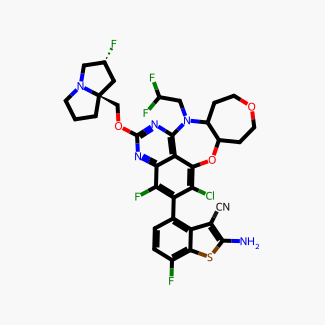 N#Cc1c(N)sc2c(F)ccc(-c3c(Cl)c4c5c(nc(OC[C@@]67CCCN6C[C@H](F)C7)nc5c3F)N(CC(F)F)C3CCOCCC3O4)c12